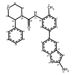 Cc1ccc(-c2ccn3nc(N)cc3c2)cc1NC(=O)N1CCOCC1c1ccccc1